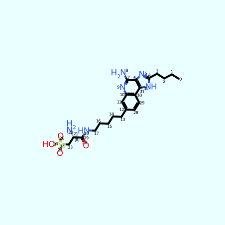 CCCCc1nc2c(N)nc3cc(CCCCCNC(=O)[C@@H](N)CS(=O)(=O)O)ccc3c2[nH]1